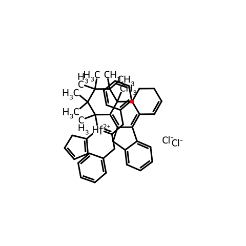 CC12C(=C3Cc4ccccc4C3=C3C=CCCC31)[C](C)([Hf+2]([C]1=CC=CC1)=[C](Cc1ccccc1)Cc1ccccc1)C(C)(C)C(C)(C)C2(C)C.[Cl-].[Cl-]